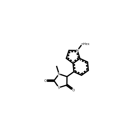 CCCCCCn1ccc2c(C3C(=O)SC(=O)N3C)cccc21